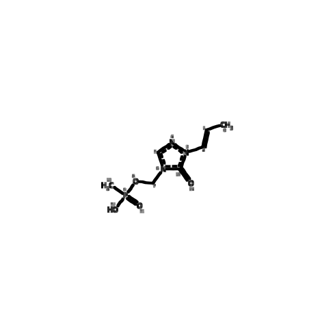 C/C=C/n1ncn(COP(C)(=O)O)c1=O